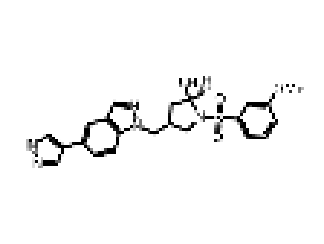 COc1cccc(S(=O)(=O)N2CC(Cn3ncc4cc(-c5cn[nH]c5)ccc43)CC2(C)C)c1